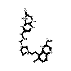 COc1cnc2ccc(F)c(CCN3CC[C@@H](CNCc4cnc5c(n4)NC(=O)CS5)C3)c2n1